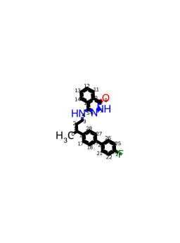 CC(CCNc1n[nH]c(=O)c2ccccc12)c1ccc(-c2ccc(F)cc2)cc1